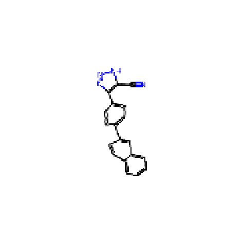 N#Cc1[nH]nnc1-c1ccc(-c2ccc3ccccc3c2)cc1